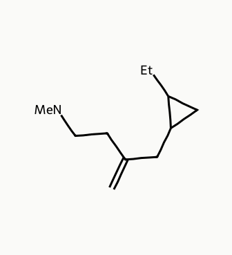 C=C(CCNC)CC1CC1CC